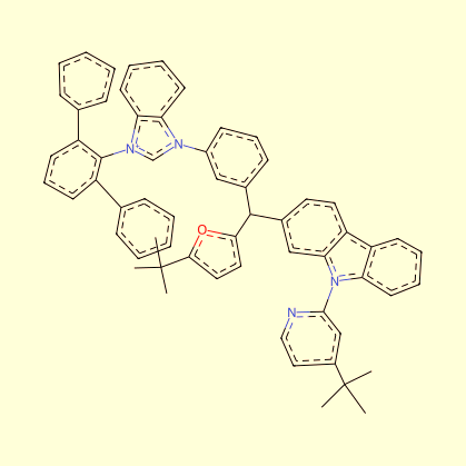 CC(C)(C)c1ccnc(-n2c3ccccc3c3ccc(C(c4cccc(-n5c[n+](-c6c(-c7ccccc7)cccc6-c6ccccc6)c6ccccc65)c4)c4ccc(C(C)(C)C)o4)cc32)c1